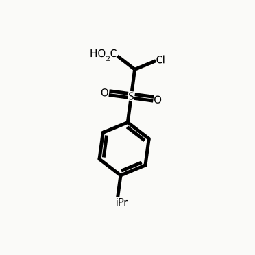 CC(C)c1ccc(S(=O)(=O)C(Cl)C(=O)O)cc1